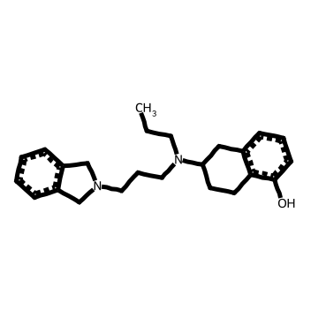 CCCN(CCCN1Cc2ccccc2C1)C1CCc2c(O)cccc2C1